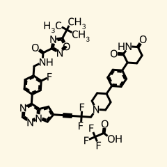 CC(C)(C)c1nc(C(=O)NCc2ccc(-c3ncnn4cc(C#CC(F)(F)CN5CCC(c6ccc(C7CCC(=O)NC7=O)cc6)CC5)cc34)cc2F)no1.O=C(O)C(F)(F)F